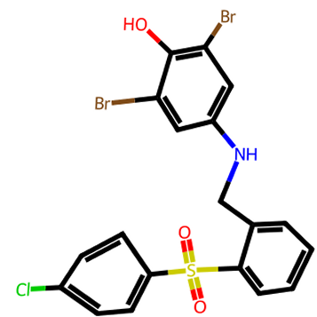 O=S(=O)(c1ccc(Cl)cc1)c1ccccc1CNc1cc(Br)c(O)c(Br)c1